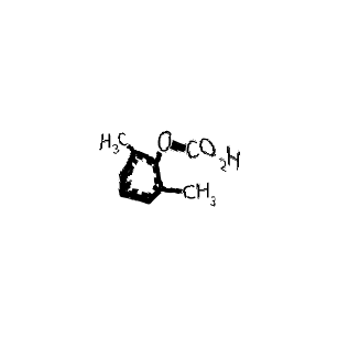 Cc1cccc(C)c1OC(=O)O